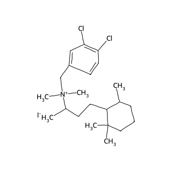 CC1CCCC(C)(C)C1CCC(C)[N+](C)(C)Cc1ccc(Cl)c(Cl)c1.[I-]